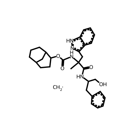 CC(Cc1n[nH]c2ccccc12)(NC(=O)OC1CCC2CCCC1C2)C(=O)NC(CO)Cc1ccccc1.[CH2]